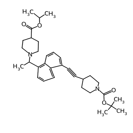 CC(C)OC(=O)C1CCN(C(C)c2cccc3c(C#CC4CCN(C(=O)OC(C)(C)C)CC4)cccc23)CC1